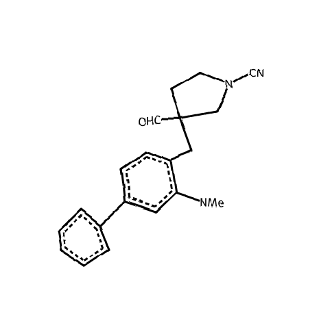 CNc1cc(-c2ccccc2)ccc1CC1(C=O)CCN(C#N)C1